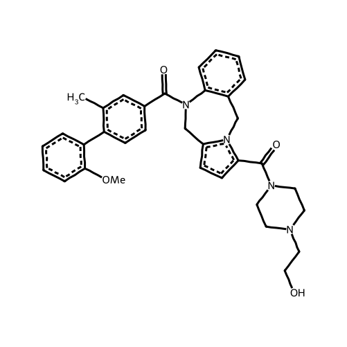 COc1ccccc1-c1ccc(C(=O)N2Cc3ccc(C(=O)N4CCN(CCO)CC4)n3Cc3ccccc32)cc1C